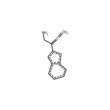 C=C=C(CN)c1cc2ccccc2s1